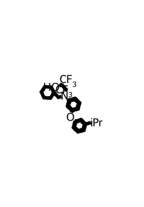 CC(C)c1cccc(Oc2cccc(N(CC(O)C(F)(F)F)CC3(C(F)(F)F)CCCCC3)c2)c1